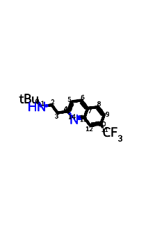 CC(C)(C)NCCc1ccc2ccc(C(F)(F)F)cc2n1